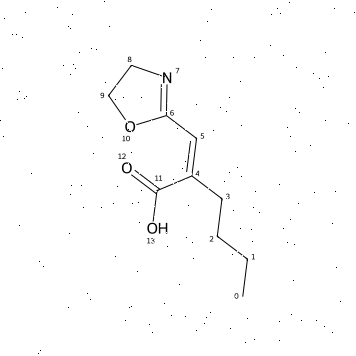 CCCCC(=CC1=NCCO1)C(=O)O